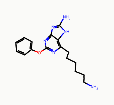 NCCCCCCc1nc(Oc2ccccc2)nc2nc(N)[nH]c12